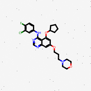 Fc1ccc(Nc2ncnc3cc(OCCCN4CCOCC4)cc(OC4CCCC4)c23)cc1Cl